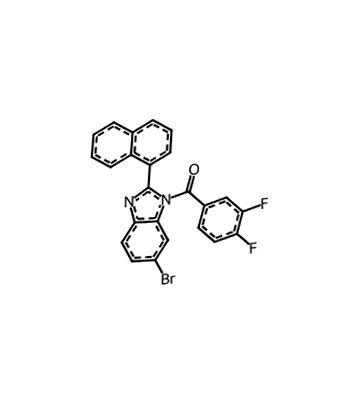 O=C(c1ccc(F)c(F)c1)n1c(-c2cccc3ccccc23)nc2ccc(Br)cc21